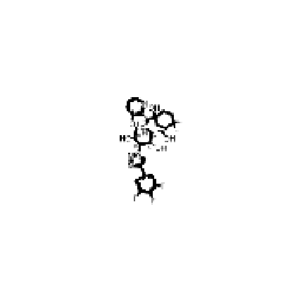 Cc1cccnc1[C@H]([SH]1C[C@H](O)[C@H](n2cc(-c3cc(F)c(F)c(F)c3)nn2)[C@@H](O)[C@H]1CO)C1(O)CCC(F)(F)CC1